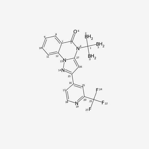 BC(B)(B)n1c(=O)c2ccccc2n2nc(-c3ccnc(C(F)(F)F)c3)cc12